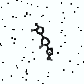 Cc1cnc(-c2ccc(-c3ccc(F)c(F)c3)cc2F)s1